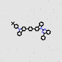 CC(C)(C)c1ccc(-n2c3ccccc3c3cc(-c4ccc(-c5ccc6c(c5)c5ccccc5n6-c5nc(-c6ccccc6)c6ccccc6n5)cc4)ccc32)cc1